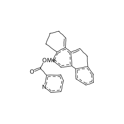 C1=c2c(ccc3c2=CCc2ccccc2-3)CCC1.COC(=O)c1ccccn1